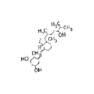 C=C1C(=CC=C2CCC[C@]3(C)[C@@H]([C@H](C)CCC(O)C(C)C)CC[C@@H]23)C[C@@H](O)C[C@@H]1O